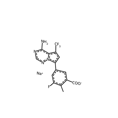 Cc1c(F)cc(-c2cc(C(F)(F)F)c3c(N)ncnn23)cc1C(=O)[O-].[Na+]